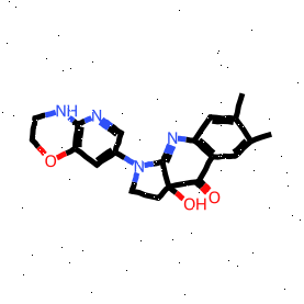 Cc1cc2c(cc1C)C(=O)C1(O)CCN(c3cnc4c(c3)OCCN4)C1=N2